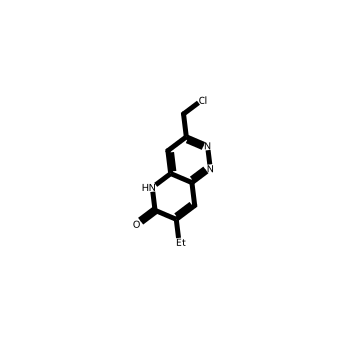 CCc1cc2nnc(CCl)cc2[nH]c1=O